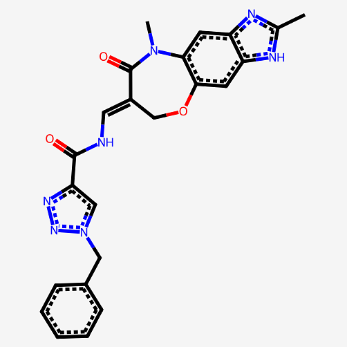 Cc1nc2cc3c(cc2[nH]1)OC/C(=C\NC(=O)c1cn(Cc2ccccc2)nn1)C(=O)N3C